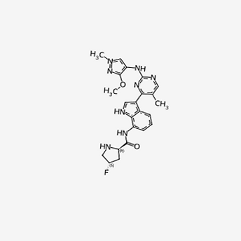 COc1nn(C)cc1Nc1ncc(C)c(-c2c[nH]c3c(NC(=O)[C@H]4C[C@H](F)CN4)cccc23)n1